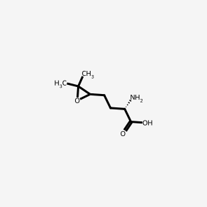 CC1(C)OC1CC[C@H](N)C(=O)O